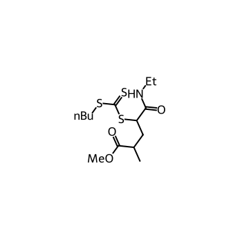 CCCCSC(=S)SC(CC(C)C(=O)OC)C(=O)NCC